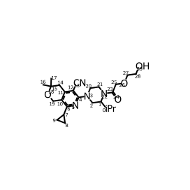 CC(C)C1CN(c2nc(C3CC3)c3c(c2C#N)CC(C)(C)OC3)CCN1C(=O)COCCO